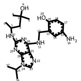 CC(CC(C)(C)O)Nc1nc(NCc2cc(N)ccc2O)c2ncn(C(C)C)c2n1